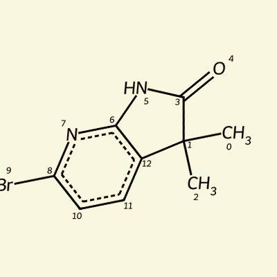 CC1(C)C(=O)Nc2nc(Br)ccc21